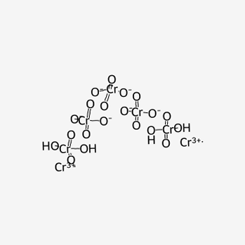 [Cr+3].[Cr+3].[O]=[Cr](=[O])([O-])[O-].[O]=[Cr](=[O])([O-])[O-].[O]=[Cr](=[O])([O-])[O-].[O]=[Cr](=[O])([OH])[OH].[O]=[Cr](=[O])([OH])[OH]